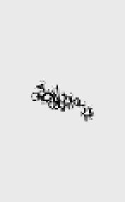 Cc1cc(OCCc2ccccc2)cc(C)c1C(=O)Nc1cc(C2CC2)c(Cl)cc1C(F)(F)F